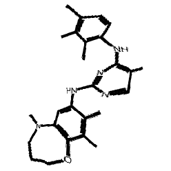 Cc1cnc(Nc2cc3c(c(C)c2C)OCCCN3C)nc1Nc1ccc(C)c(C)c1C